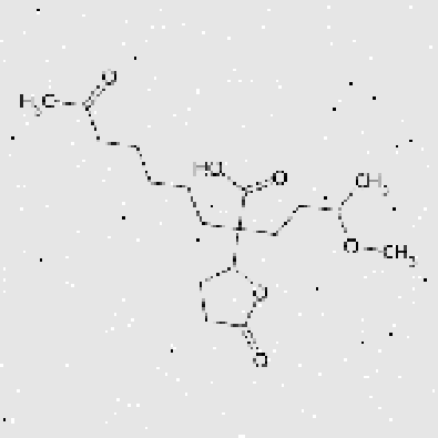 COC(C)CCC(CCCCCC(C)=O)(C(=O)O)C1CCC(=O)O1